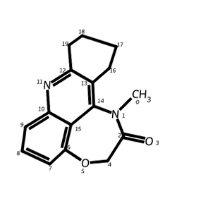 CN1C(=O)COc2cccc3nc4c(c1c23)CCCC4